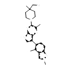 Cc1nc2c(-c3ccc4nn(C)cc4c3Cl)c[nH]c2nc1N1CCC(C)(CN)CC1